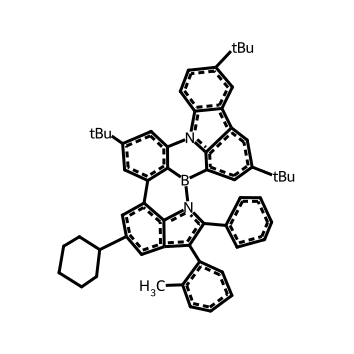 Cc1ccccc1-c1c(-c2ccccc2)n2c3c(cc(C4CCCCC4)cc13)-c1cc(C(C)(C)C)cc3c1B2c1cc(C(C)(C)C)cc2c4cc(C(C)(C)C)ccc4n-3c12